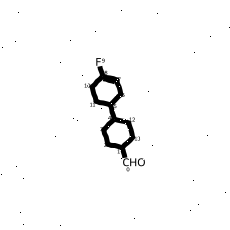 O=CC1CCC(C2CC=C(F)CC2)CC1